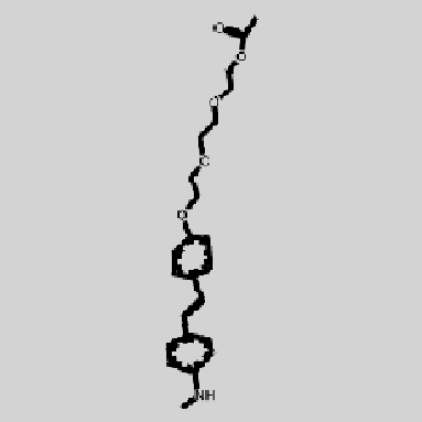 CNc1ccc(/C=C/c2ccc(OCCOCCOCCOC(C)=O)cc2)cc1